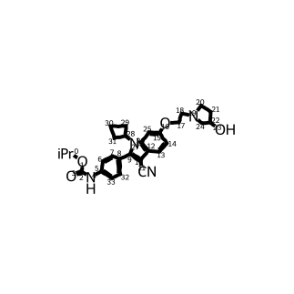 CC(C)OC(=O)Nc1ccc(-c2c(C#N)c3ccc(OCCN4CCC(O)C4)cc3n2C2CCC2)cc1